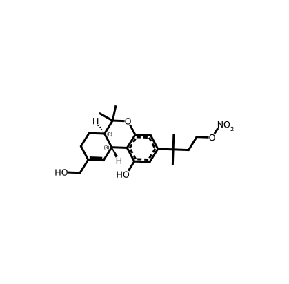 CC(C)(CCO[N+](=O)[O-])c1cc(O)c2c(c1)OC(C)(C)[C@@H]1CCC(CO)=C[C@@H]21